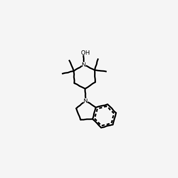 CC1(C)CC(N2CCc3ccccc32)CC(C)(C)N1O